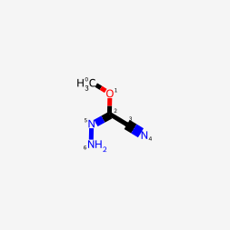 COC(C#N)=NN